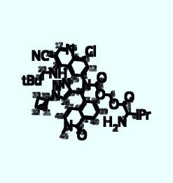 CC(C)C(N)C(=O)OCOC(=O)N(c1cc(Cl)c2ncc(C#N)c(NCC(C)(C)C)c2c1)[C@H](c1cn(C23CC(C2)C3)nn1)c1cccc2c(=O)n(C)ccc12